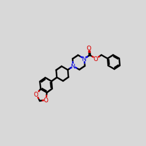 O=C(OCc1ccccc1)N1CCN(C2CCC(c3ccc4c(c3)OCO4)CC2)CC1